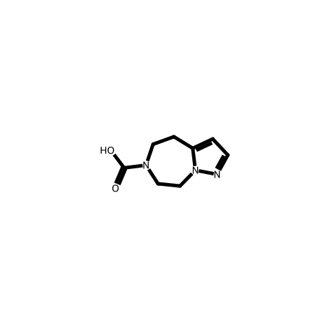 O=C(O)N1CCc2ccnn2CC1